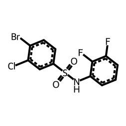 O=S(=O)(Nc1cccc(F)c1F)c1ccc(Br)c(Cl)c1